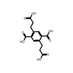 O=C(O)CCc1cc(C(=O)O)c(CCC(=O)O)cc1C(=O)O